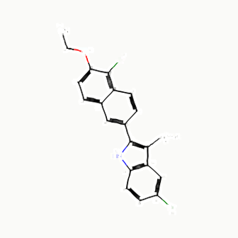 CCCCCc1c(-c2ccc3c(Br)c(OCC#N)ccc3c2)[nH]c2ccc(Br)cc12